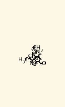 COc1ncc2cc(C=O)c3onc(C(C)C)c3c2n1